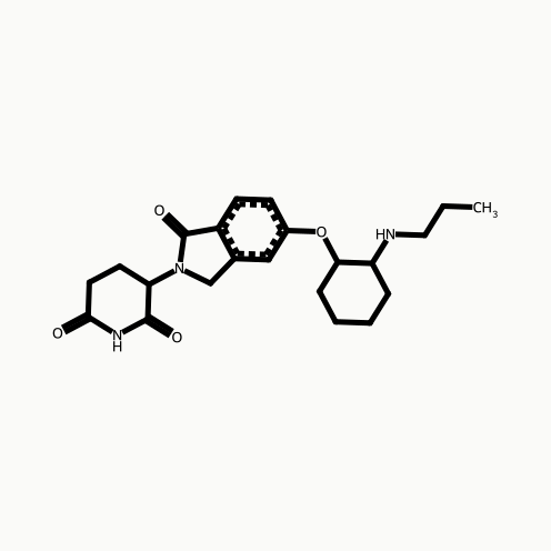 CCCNC1CCCCC1Oc1ccc2c(c1)CN(C1CCC(=O)NC1=O)C2=O